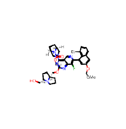 CCc1cccc2cc(OCOC)cc(-c3ncc4c(N5C[C@H]6CC[C@@H](C5)N6C(=O)OC(C)(C)C)nc(OC[C@]56CCCN5[C@H](CO)CC6)nc4c3F)c12